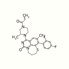 C=CC(=O)N1CCN(c2nc(=O)n3c4c(c(-c5ccc(F)cc5F)c(C(F)(F)F)cc24)SCCC3)C(C)C1